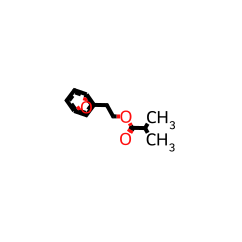 CC(C)C(=O)OCCc1cc2ccc1o2